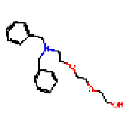 OCCOCCOCCN(Cc1ccccc1)Cc1ccccc1